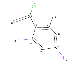 C=C(Cl)c1c(C)cc(I)cc1I